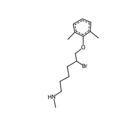 CNCCCCC(Br)COc1c(C)cccc1C